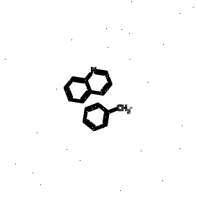 [CH2]c1ccccc1.c1ccc2ncccc2c1